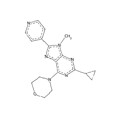 Cn1c(-c2ccncc2)nc2c(N3CCOCC3)nc(C3CC3)nc21